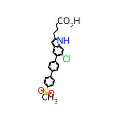 CS(=O)(=O)c1ccc(-c2ccc(-c3cc4cc(CCCC(=O)O)[nH]c4cc3Cl)cc2)cc1